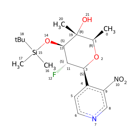 C[C@H]1O[C@@H](c2ccncc2[N+](=O)[O-])[C@H](F)[C@@H](O[Si](C)(C)C(C)(C)C)[C@]1(C)O